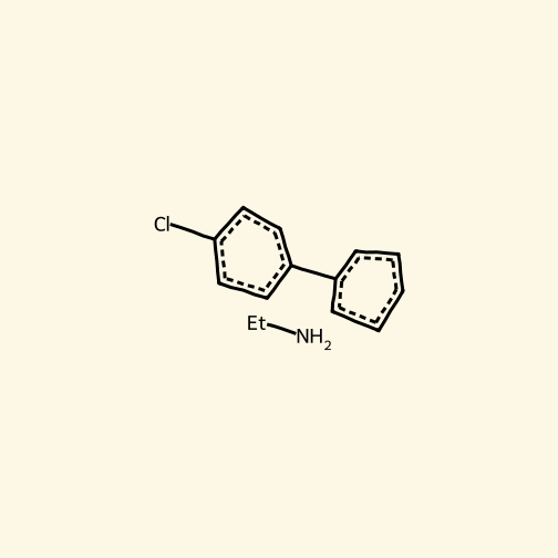 CCN.Clc1ccc(-c2ccccc2)cc1